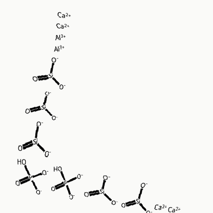 O=P([O-])([O-])O.O=P([O-])([O-])O.O=[Si]([O-])[O-].O=[Si]([O-])[O-].O=[Si]([O-])[O-].O=[Si]([O-])[O-].O=[Si]([O-])[O-].[Al+3].[Al+3].[Ca+2].[Ca+2].[Ca+2].[Ca+2]